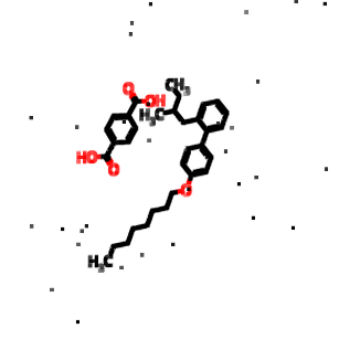 CCCCCCCCOc1ccc(-c2ccccc2CC(C)CC)cc1.O=C(O)c1ccc(C(=O)O)cc1